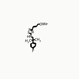 COCC=Cc1nsc(NCC(C)(C)c2ccc(F)cc2)n1